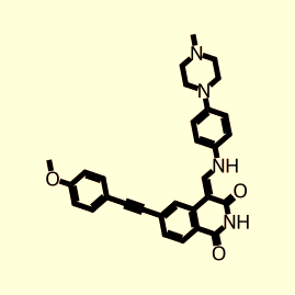 COc1ccc(C#Cc2ccc3c(c2)C(=CNc2ccc(N4CCN(C)CC4)cc2)C(=O)NC3=O)cc1